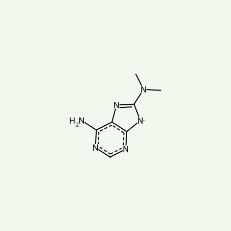 CN(C)C1=Nc2c(N)ncnc2[N]1